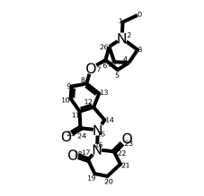 CCN1CC2CC(Oc3ccc4c(c3)CN(N3C(=O)CCCC3=O)C4=O)C1C2